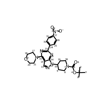 CC(C)(C)OC(=O)N1CCC(n2ncc3c(N4CCOCC4)nc(-c4ccc([N+](=O)[O-])cc4)nc32)CC1